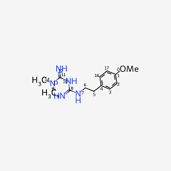 COc1ccc(CCNC(=N)NC(=N)N(C)C)cc1